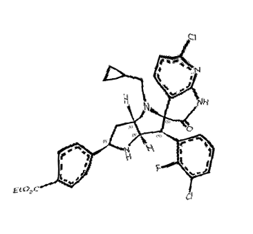 CCOC(=O)c1ccc([C@H]2C[C@H]3[C@@H](N2)[C@H](c2cccc(Cl)c2F)[C@]2(C(=O)Nc4nc(Cl)ccc42)N3CC2CC2)cc1